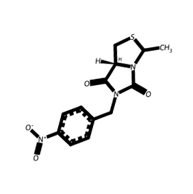 CC1SC[C@H]2C(=O)N(Cc3ccc([N+](=O)[O-])cc3)C(=O)N12